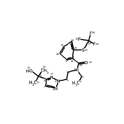 CCN(CCn1ncc(C(C)(C)O)n1)C(=O)c1ccccc1SC(F)(F)F